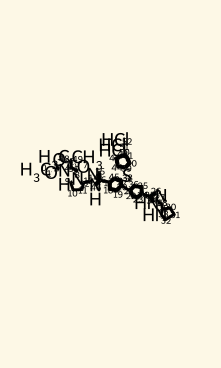 COC(=O)N[C@H](C(=O)N1CCCC1c1ncc(-c2ccc(-c3ccc(-c4cnc(C5CCCN5)[nH]4)cc3)c(Sc3ccccc3)c2)[nH]1)C(C)C.Cl.Cl.Cl